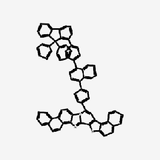 c1ccc(C2(c3ccccc3)c3ccccc3-c3cccc(-c4ccc(-c5ccc(-c6ccc(-c7cc8c(sc9ccc%10ccccc%10c98)c8nc9c%10ccc%11ccccc%11c%10ccc9n78)cc6)c6ccccc56)cc4)c32)cc1